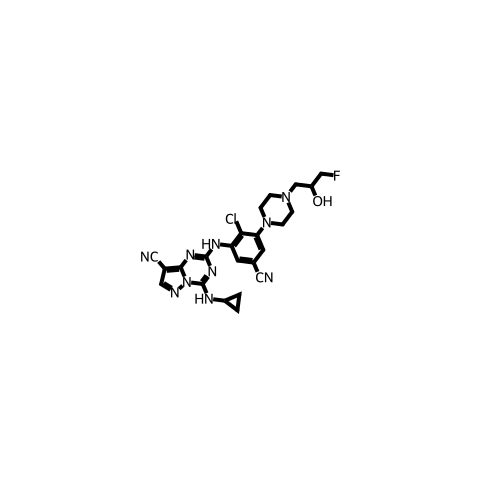 N#Cc1cc(Nc2nc(NC3CC3)n3ncc(C#N)c3n2)c(Cl)c(N2CCN(CC(O)CF)CC2)c1